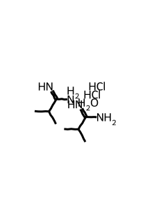 CC(C)C(=N)N.CC(C)C(=N)N.Cl.Cl.O